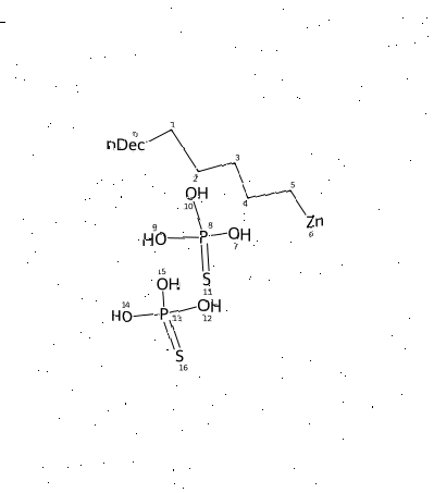 CCCCCCCCCCCCCC[CH2][Zn].OP(O)(O)=S.OP(O)(O)=S